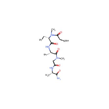 CNCC(=O)N(C)[C@@H](CC(C)C)C(=O)N[C@H](C(=O)N(C)CC(=O)N[C@@H](C)C(N)=O)C(C)C